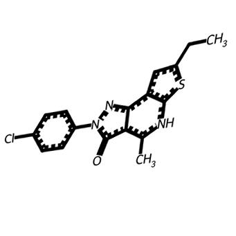 CCc1cc2c3nn(-c4ccc(Cl)cc4)c(=O)c-3c(C)[nH]c2s1